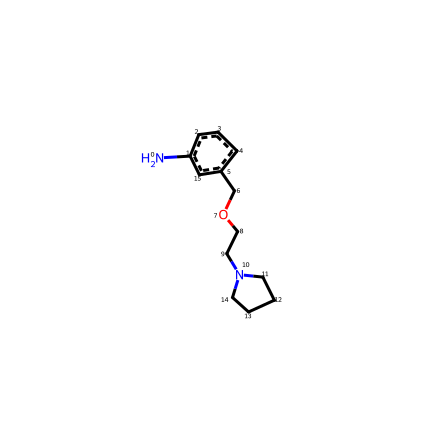 Nc1cccc(COCCN2CCCC2)c1